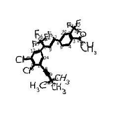 CC(=O)c1ccc(/C(F)=C/C(c2cc(Cl)c(Cl)c(C#CC(C)(C)C)c2)C(F)(F)F)cc1C(F)(F)F